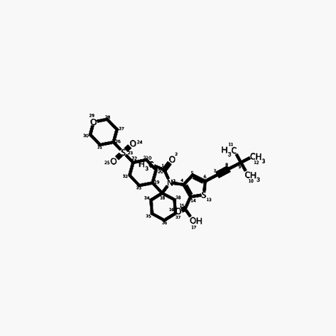 CC(=O)N(c1cc(C#CC(C)(C)C)sc1C(=O)O)C1(C2CCC(S(=O)(=O)C3CCOCC3)CC2)CCCCC1